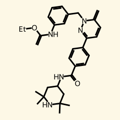 C=C(Nc1cccc(CN2N=C(c3ccc(C(=O)NC4CC(C)(C)NC(C)(C)C4)cc3)C=CC2=C)c1)OCC